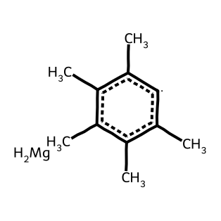 Cc1[c]c(C)c(C)c(C)c1C.[MgH2]